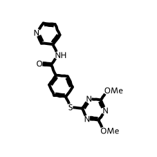 COc1nc(OC)nc(Sc2ccc(C(=O)Nc3cccnc3)cc2)n1